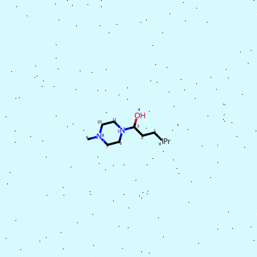 CC(C)CCC(O)N1CCN(C)CC1